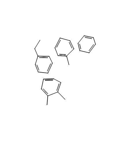 CCc1ccccc1.Cc1ccccc1.Cc1ccccc1C.c1ccccc1